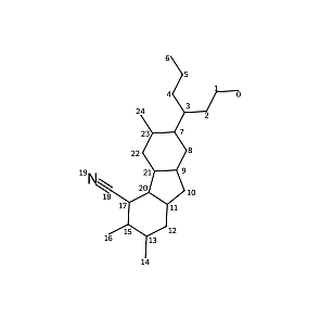 CCCC(CCC)C1CC2CC3CC(C)C(C)C(C#N)C3C2CC1C